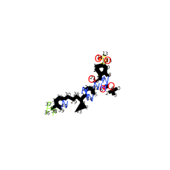 CC(C)(C)OC(=O)N1Cc2cc(S(C)(=O)=O)ccc2[C@@H]1C(=O)Nc1cnc(C(CCCc2ccc(C(F)(F)F)cn2)C2CC2)nc1